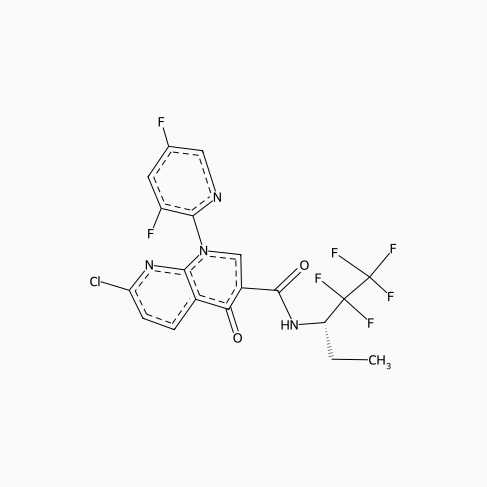 CC[C@H](NC(=O)c1cn(-c2ncc(F)cc2F)c2nc(Cl)ccc2c1=O)C(F)(F)C(F)(F)F